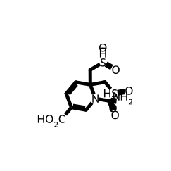 NC(=O)N1C=C(C(=O)O)C=CC1(C[SH](=O)=O)C[SH](=O)=O